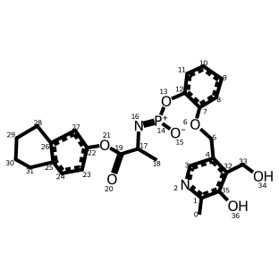 Cc1ncc(COc2ccccc2O/[P+]([O-])=N/C(C)C(=O)Oc2ccc3c(c2)CCCC3)c(CO)c1O